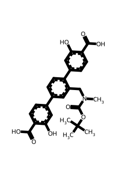 CN(Cc1cc(-c2ccc(C(=O)O)c(O)c2)ccc1-c1ccc(C(=O)O)c(O)c1)C(=O)OC(C)(C)C